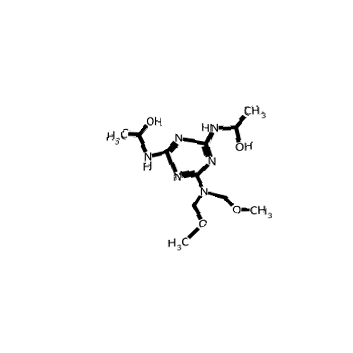 COCN(COC)c1nc(NC(C)O)nc(NC(C)O)n1